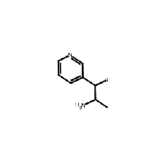 CC(N)C(I)c1cccnc1